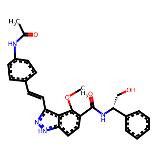 COc1c(C(=O)N[C@H](CO)c2ccccc2)ccc2[nH]nc(/C=C/c3ccc(NC(C)=O)cc3)c12